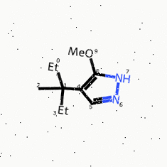 CCC(C)(CC)c1cn[nH]c1OC